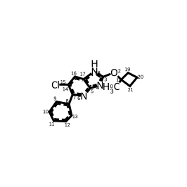 CC1(Oc2nc3nc(-c4ccccc4)c(Cl)cc3[nH]2)CCC1